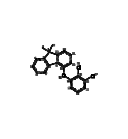 CC1(C)c2ccccc2-c2c(Oc3cccc(Cl)c3Cl)cccc21